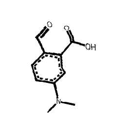 CN(C)c1ccc(C=O)c(C(=O)O)c1